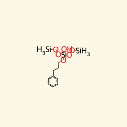 O[Si](OCCCc1ccccc1)(OO[SiH3])OO[SiH3]